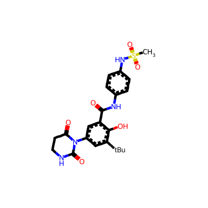 CC(C)(C)c1cc(N2C(=O)CCNC2=O)cc(C(=O)Nc2ccc(NS(C)(=O)=O)cc2)c1O